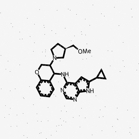 COC[C@@H]1CCN(C2COc3ccccc3C2Nc2ncnc3[nH]c(C4CC4)cc23)C1